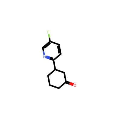 O=C1CCCC(c2ccc(F)cn2)C1